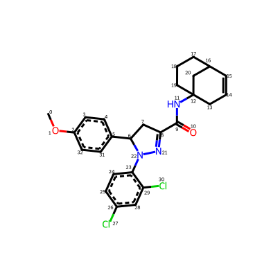 COc1ccc(C2CC(C(=O)NC34CC=CC(CCC3)C4)=NN2c2ccc(Cl)cc2Cl)cc1